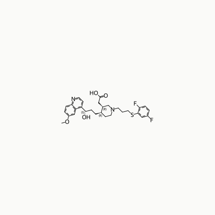 COc1ccc2nccc([C@@H](O)CC[C@@H]3CCN(CCCSc4cc(F)ccc4F)C[C@@H]3CC(=O)O)c2c1